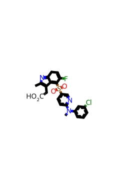 CC1=C(CC(=O)O)C2=C(S(=O)(=O)c3ccc(N(C)c4cccc(Cl)c4)nc3)C(F)=CCC2=N1